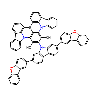 N#Cc1c(-n2c3cc(-c4ccc5oc6ccccc6c5c4)ccc3c3ccc(-c4ccc5oc6ccccc6c5c4)cc32)c(C#N)c2c3c1-n1c4ccccc4c4cccc(c41)B3c1cccc3c4ccccc4n-2c13